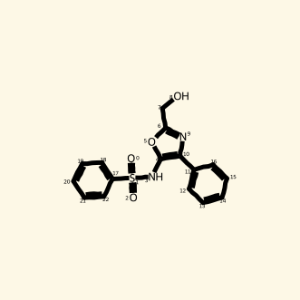 O=S(=O)(Nc1oc(CO)nc1-c1ccccc1)c1ccccc1